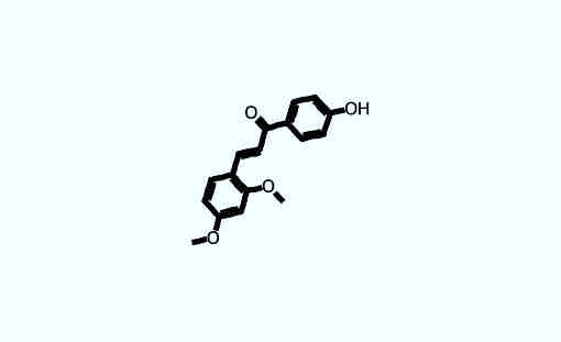 COc1ccc(C=CC(=O)c2ccc(O)cc2)c(OC)c1